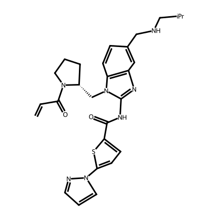 C=CC(=O)N1CCC[C@@H]1Cn1c(NC(=O)c2ccc(-n3cccn3)s2)nc2cc(CNCC(C)C)ccc21